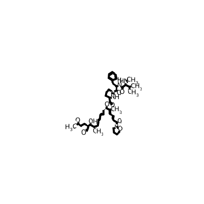 CNC(C(=O)NC(Cc1ccccc1)C(=O)N1CCCC(C(=O)O[C@@H](C/C=C/C=C/C[C@H](C)C(O)C(C=O)CCC(C)=O)/C(C)=C/C=C/C(=O)N2CCCCO2)N1)C(C)C